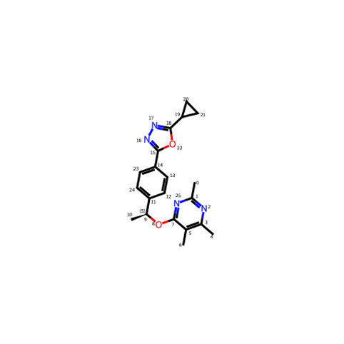 Cc1nc(C)c(C)c(O[C@@H](C)c2ccc(-c3nnc(C4CC4)o3)cc2)n1